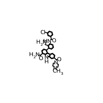 CN1CCN(C(=O)c2ccc3c(c2)[nH]c2c(C(N)=O)ccc(-c4cccc(NC(=O)c5cccc(Cl)c5)c4CN)c23)CC1